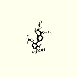 Nc1c(OC=O)nnc2cc(-c3c(OC(F)F)ccc(B(O)O)c3F)ccc12